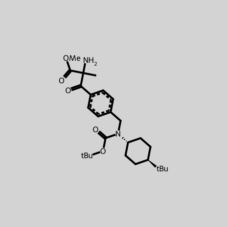 COC(=O)C(C)(N)C(=O)c1ccc(CN(C(=O)OC(C)(C)C)[C@H]2CC[C@H](C(C)(C)C)CC2)cc1